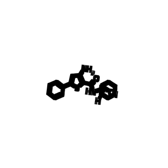 Nc1cc(-c2ccccc2)sc1C(=O)N[C@H]1CN2CCC1CC2